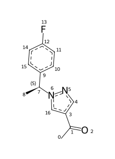 CC(=O)c1cnn([C@@H](C)c2ccc(F)cc2)c1